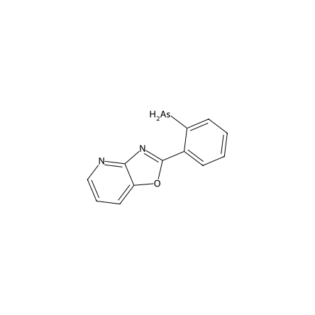 [AsH2]c1ccccc1-c1nc2ncccc2o1